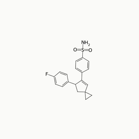 NS(=O)(=O)c1ccc(C2=CC3(CC3)CC2c2ccc(F)cc2)cc1